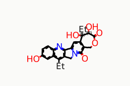 CCc1c2c(nc3ccc(O)cc13)-c1cc3c(c(=O)n1C2)COC(=O)[C@H](O)[C@]3(O)CC